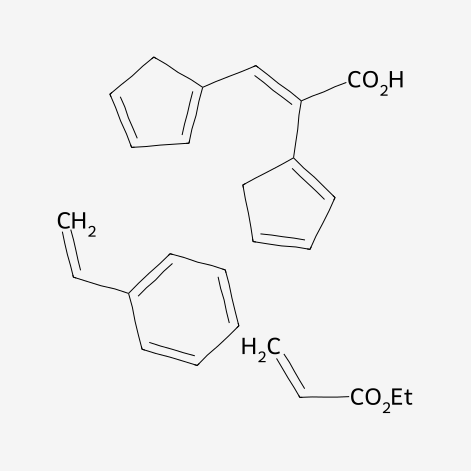 C=CC(=O)OCC.C=Cc1ccccc1.O=C(O)C(=CC1=CC=CC1)C1=CC=CC1